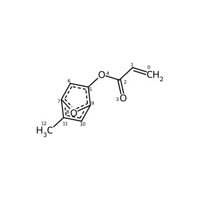 C=CC(=O)Oc1cc2oc1cc2C